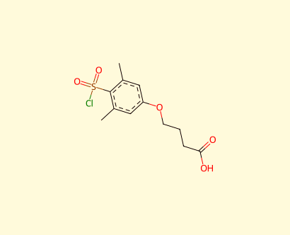 Cc1cc(OCCCC(=O)O)cc(C)c1S(=O)(=O)Cl